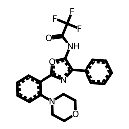 O=C(Nc1oc(-c2ccccc2N2CCOCC2)nc1-c1ccccc1)C(F)(F)F